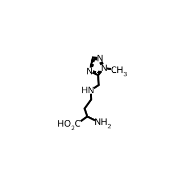 Cn1ncnc1CNCCC(N)C(=O)O